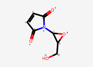 O=C1C=CC(=O)N1C1OC1CO